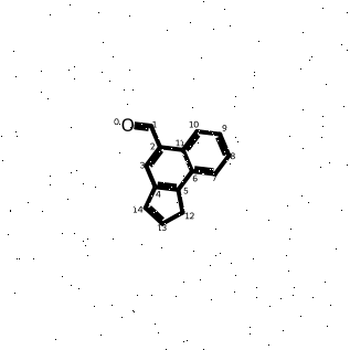 O=Cc1cc2c(c3ccccc13)CC=C2